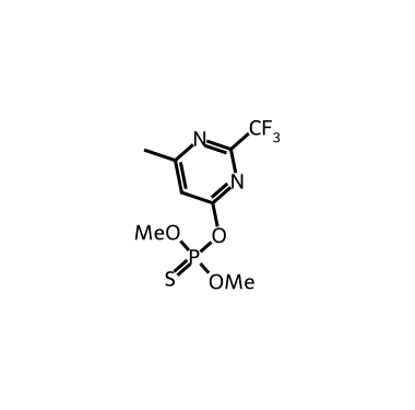 COP(=S)(OC)Oc1cc(C)nc(C(F)(F)F)n1